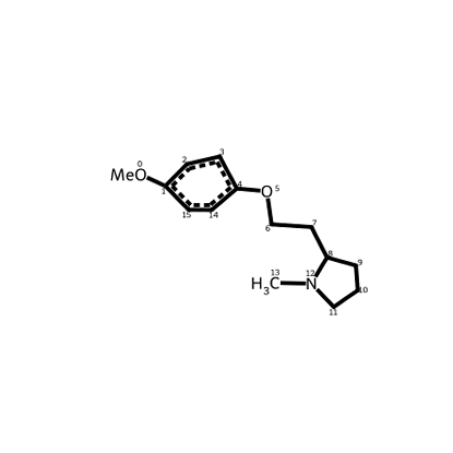 COc1ccc(OCCC2CCCN2C)cc1